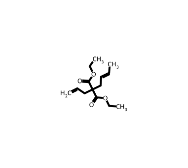 C=CCC(CC=CC)(C(=O)OCC)C(=O)OCC